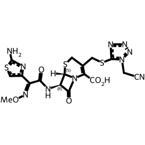 CON=C(C(=O)N[C@@H]1C(=O)N2C(C(=O)O)=C(CSc3nnnn3CC#N)CS[C@@H]12)c1csc(N)n1